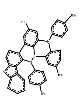 CC(C)(C)c1ccc(N2B3c4cc(C(C)(C)C)ccc4N(c4ccc(C(C)(C)C)cc4)c4cc(C(C)(C)C)cc(c43)-c3ccc4sc5ccccc5c4c32)cc1